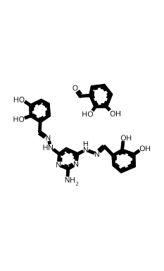 Nc1nc(NN=Cc2cccc(O)c2O)cc(NN=Cc2cccc(O)c2O)n1.O=Cc1cccc(O)c1O